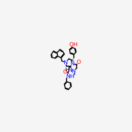 CN1CC(=O)N2[C@@H](Cc3ccc(O)cc3)CN(Cc3cccc4ccccc34)C[C@H]2N1C(=O)NCc1ccccc1